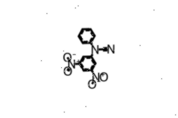 N#CN(c1ccccc1)c1cc([N+](=O)[O-])cc([N+](=O)[O-])c1